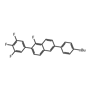 CCCCc1ccc(-c2ccc3c(F)c(-c4cc(F)c(F)c(F)c4)ccc3c2)cc1